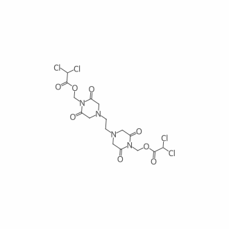 O=C(OCN1C(=O)CN(CCN2CC(=O)N(COC(=O)C(Cl)Cl)C(=O)C2)CC1=O)C(Cl)Cl